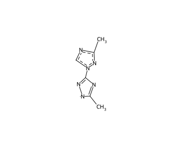 CC1=NC(n2cnc(C)n2)=N[N]1